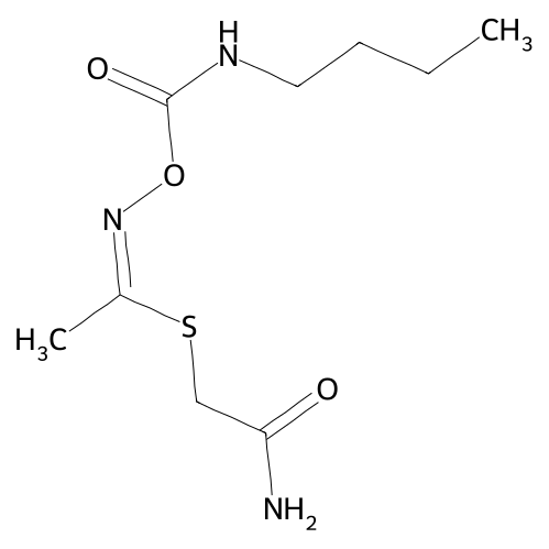 CCCCNC(=O)ON=C(C)SCC(N)=O